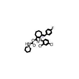 O=C(NN1CCCCC1)Oc1nn(-c2ccc(Cl)cc2Cl)c2c1CCCC/C2=C\c1ccc(F)cc1